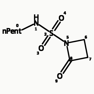 CCCCCNS(=O)(=O)N1CCC1=O